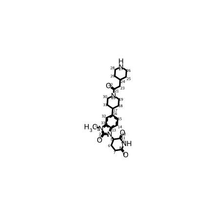 Cn1c(=O)n(C2CCC(=O)NC2=O)c2ccc(C3CCN(C(=O)CC4CCNCC4)CC3)cc21